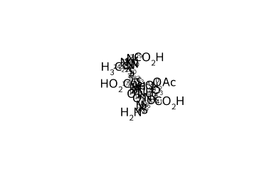 CC(=O)Oc1ccc(C(ON=C(C(=O)N[C@@H]2C(=O)N3C(C(=O)O)=C(CSc4cc(C)nc5nc(C(=O)O)nn45)CS[C@H]23)c2csc(N)n2)C(=O)O)cc1OC(C)=O